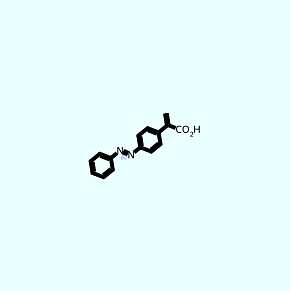 C=C(C(=O)O)c1ccc(/N=N/c2ccccc2)cc1